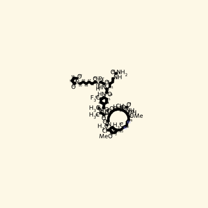 COc1cc2cc(c1Cl)N(C)C(=O)C[C@H](OC(=O)[C@H](C)N(C)C(=O)c1ccc(NC(=O)[C@H](CCCCNC(N)=O)NC(=O)[C@@H](NC(=O)CCCCCN3C(=O)C=CC3=O)C(C)C)c(C(F)(F)F)c1)[C@]1(C)O[C@H]1[C@H](C)[C@@H]1C[C@@](O)(NC(=O)O1)[C@H](OC)/C=C/C=C(\C)C2